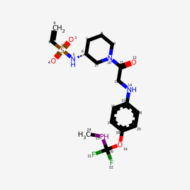 C=CS(=O)(=O)N[C@@H]1CCCN(C(=O)CNc2ccc(OC(F)(F)PC)cc2)C1